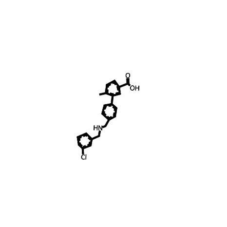 Cc1ccc(C(=O)O)cc1-c1ccc(CNCc2cccc(Cl)c2)cc1